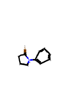 S=C1CCCN1c1ccccc1